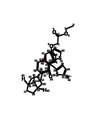 CCOC(=O)COc1ccc2cc(C[N+]3(C)[C@@H]4CC[C@H]3C[C@H](OC(=O)C(O)(c3cccs3)c3cccs3)C4)ccc2c1.[Br-]